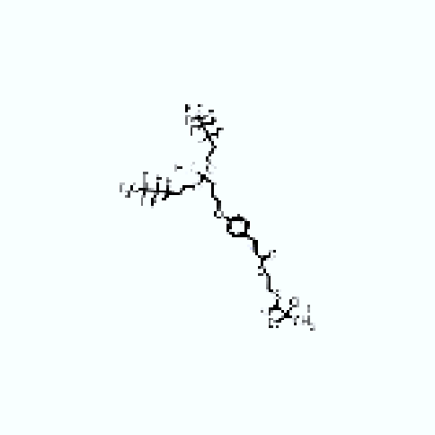 CCC(C)(C)C(=O)SCCOC(=O)/C=C/c1ccc(OCCCC(C)(OCCC(F)(F)C(F)(F)C(F)(F)C(F)(F)F)OCCC(F)(F)C(F)(F)C(F)(F)C(F)(F)F)cc1